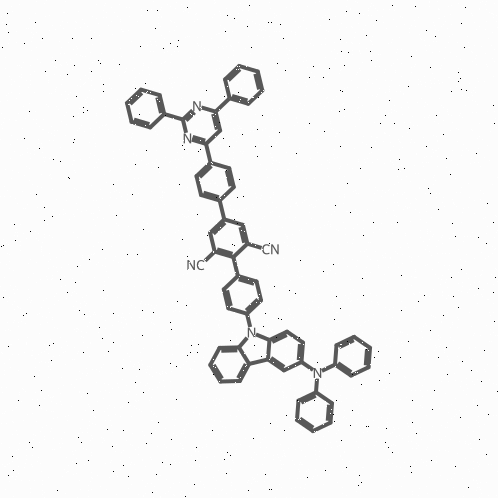 N#Cc1cc(-c2ccc(-c3cc(-c4ccccc4)nc(-c4ccccc4)n3)cc2)cc(C#N)c1-c1ccc(-n2c3ccccc3c3cc(N(c4ccccc4)c4ccccc4)ccc32)cc1